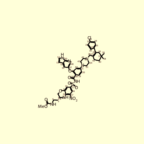 COC(=O)NCC[C@@H]1COc2cc(S(=O)(=O)NC(=O)c3ccc(N4CCN(CC5=C(c6ccc(Cl)cc6)CC(C)(C)CC5)CC4)cc3Oc3cnc4[nH]ccc4c3)cc([N+](=O)[O-])c2N1